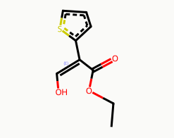 CCOC(=O)/C(=C\O)c1cccs1